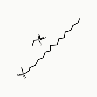 CCCCCCCCCCCCCCCCS(=O)(=O)Cl.CCS(=O)(=O)Cl